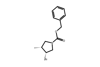 CC(C)[C@H]1CN(C(=O)OCc2ccccc2)C[C@H]1C